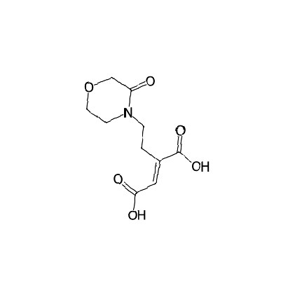 O=C(O)/C=C(\CCN1CCOCC1=O)C(=O)O